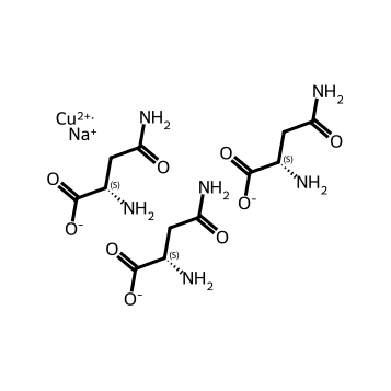 NC(=O)C[C@H](N)C(=O)[O-].NC(=O)C[C@H](N)C(=O)[O-].NC(=O)C[C@H](N)C(=O)[O-].[Cu+2].[Na+]